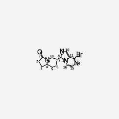 O=C1CCC2CCC(c3ncc4c(Br)nccn34)CN12